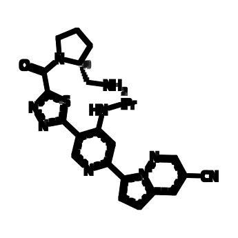 CC(C)Nc1cc(-c2ccc3cc(C#N)cnn23)ncc1-c1nnc(C(=O)N2CCC[C@@H]2CN)s1